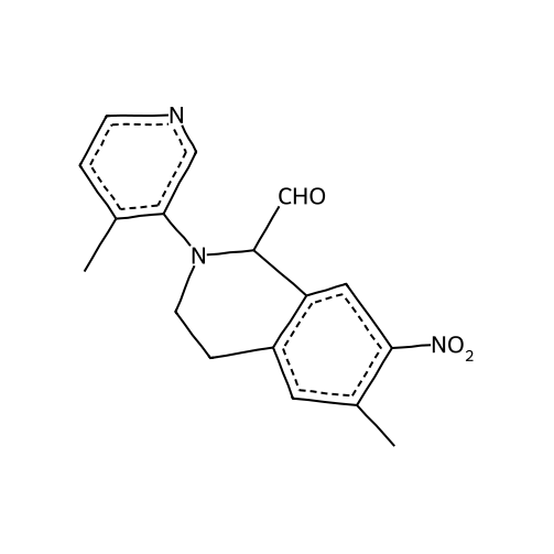 Cc1ccncc1N1CCc2cc(C)c([N+](=O)[O-])cc2C1C=O